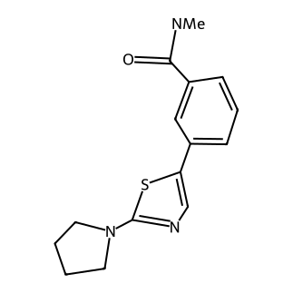 CNC(=O)c1cccc(-c2cnc(N3CCCC3)s2)c1